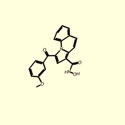 COc1cccc(C(=O)c2cc(C(=O)NO)c3ccc4ccccc4n23)c1